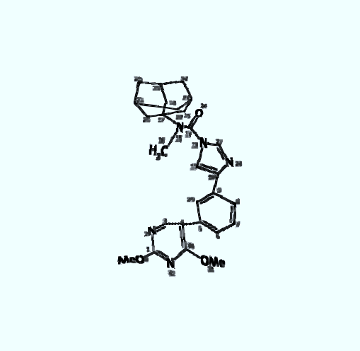 COc1ncc(-c2cccc(-c3cn(C(=O)N(C)C45CC6CC(CC(C6)C4)C5)cn3)c2)c(OC)n1